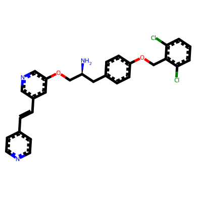 N[C@H](COc1cncc(/C=C/c2ccncc2)c1)Cc1ccc(OCc2c(Cl)cccc2Cl)cc1